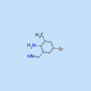 Cc1cc(Br)cc(C=N)c1N